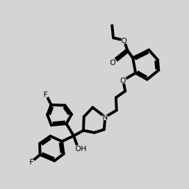 CCOC(=O)c1ccccc1OCCCN1CCC(C(O)(c2ccc(F)cc2)c2ccc(F)cc2)CC1